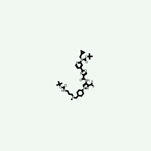 CN(CCCNC(=O)OC(C)(C)C)CC1CCC(n2cc(NC(=O)c3coc(-c4ccnc(N(CC5CC5)C(=O)OC(C)(C)C)c4)n3)c(C(F)F)n2)CC1